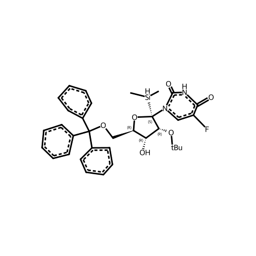 C[SiH](C)[C@@]1(n2cc(F)c(=O)[nH]c2=O)O[C@H](COC(c2ccccc2)(c2ccccc2)c2ccccc2)[C@@H](O)[C@H]1OC(C)(C)C